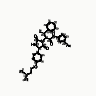 CCN(CC)CCOc1ccc([C@H]2NC(=O)N(C(C(=O)Nc3nc(C(C)=O)cs3)[C@@H](C)c3ccccc3)C2=O)cc1